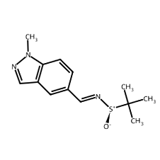 Cn1ncc2cc(/C=N/[S@+]([O-])C(C)(C)C)ccc21